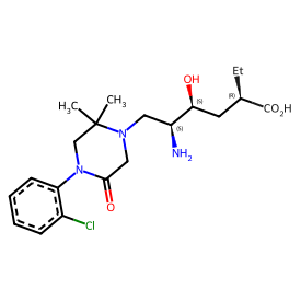 CC[C@H](C[C@H](O)[C@@H](N)CN1CC(=O)N(c2ccccc2Cl)CC1(C)C)C(=O)O